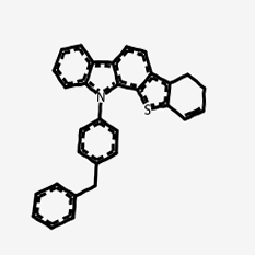 C1=Cc2sc3c(ccc4c5ccccc5n(-c5ccc(Cc6ccccc6)cc5)c43)c2CC1